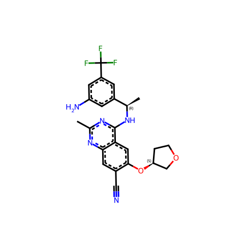 Cc1nc(N[C@H](C)c2cc(N)cc(C(F)(F)F)c2)c2cc(O[C@H]3CCOC3)c(C#N)cc2n1